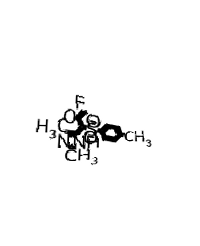 Cc1ccc(S(=O)(=O)C(C(=O)CF)c2[nH]c(C)nc2C)cc1